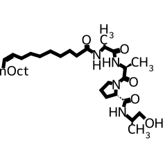 CCCCCCCC/C=C\CCCCCCCC(=O)N[C@@H](C)C(=O)N[C@@H](C)C(=O)N1CCC[C@H]1C(=O)N[C@@H](C)CO